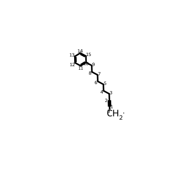 [CH2]C#CCCCCCCCc1ccccc1